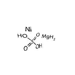 O=S(=O)(O)O.[MgH2].[Ni]